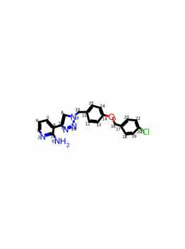 Nc1ncccc1-c1cn(Cc2ccc(OCc3ccc(Cl)cc3)cc2)nn1